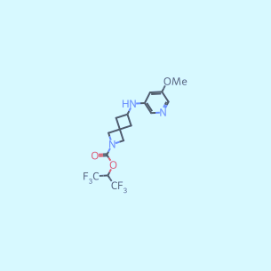 COc1cncc(NC2CC3(C2)CN(C(=O)OC(C(F)(F)F)C(F)(F)F)C3)c1